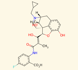 C/C(C(=O)Nc1ccc(F)cc1C(=O)O)=C(/O)[C@@H]1Oc2c(O)ccc3c2[C@@]12CCN(CC1CC1)[C@H](C3)[C@@]2(C)O